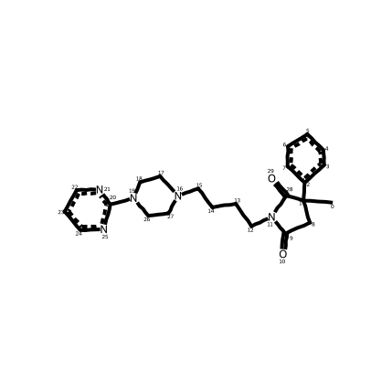 CC1(c2ccccc2)CC(=O)N(CCCCN2CCN(c3ncccn3)CC2)C1=O